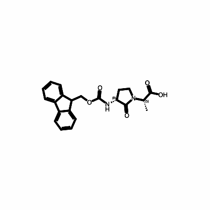 C[C@@H](C(=O)O)N1CC[C@@H](NC(=O)OCC2c3ccccc3-c3ccccc32)C1=O